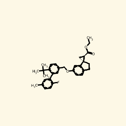 CCOC(=O)[C@@H]1C[C@@]12CCc1ccc(OCc3ccc(C(C)(C)C)c(-c4cc(C)ccc4F)c3)cc12